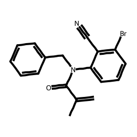 C=C(C)C(=O)N(Cc1ccccc1)c1cccc(Br)c1C#N